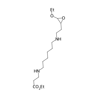 CCOC(=O)CCNCCCCCCNCCC1OC1OCC